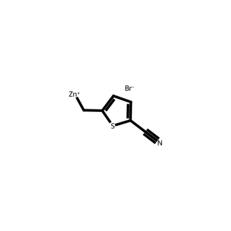 N#Cc1ccc([CH2][Zn+])s1.[Br-]